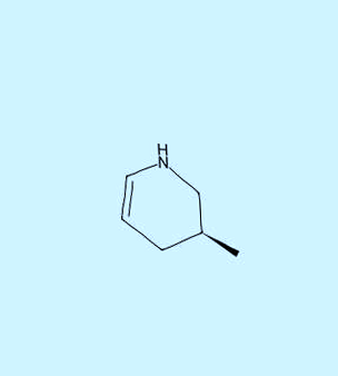 C[C@H]1CC=CNC1